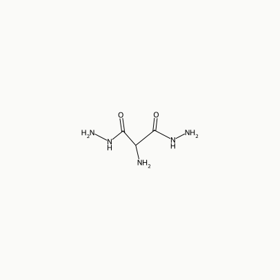 NNC(=O)C(N)C(=O)NN